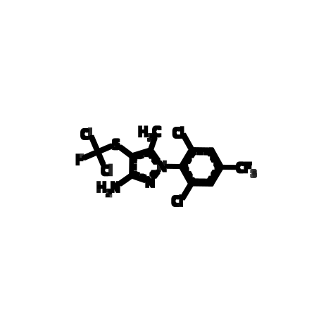 Cc1c(SC(F)(Cl)Cl)c(N)nn1-c1c(Cl)cc(C(F)(F)F)cc1Cl